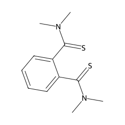 CN(C)C(=S)c1ccccc1C(=S)N(C)C